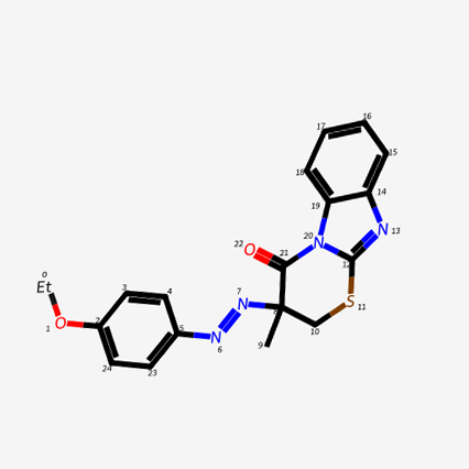 CCOc1ccc(N=NC2(C)CSc3nc4ccccc4n3C2=O)cc1